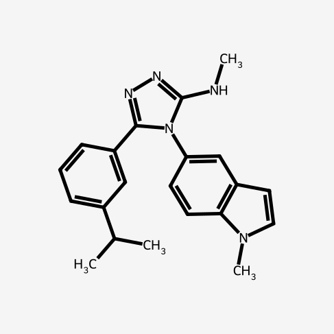 CNc1nnc(-c2cccc(C(C)C)c2)n1-c1ccc2c(ccn2C)c1